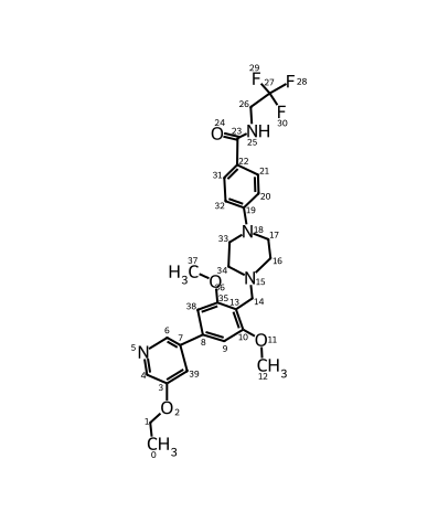 CCOc1cncc(-c2cc(OC)c(CN3CCN(c4ccc(C(=O)NCC(F)(F)F)cc4)CC3)c(OC)c2)c1